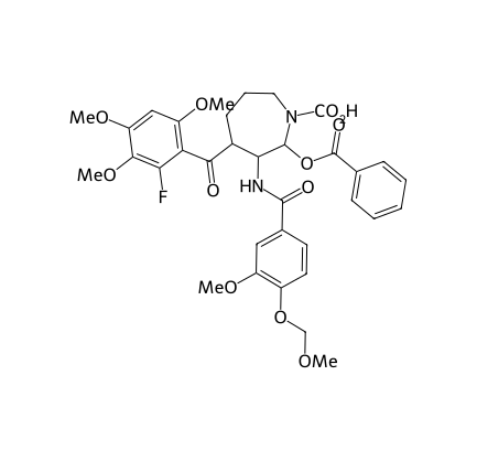 COCOc1ccc(C(=O)NC2C(C(=O)c3c(OC)cc(OC)c(OC)c3F)CCCN(C(=O)O)C2OC(=O)c2ccccc2)cc1OC